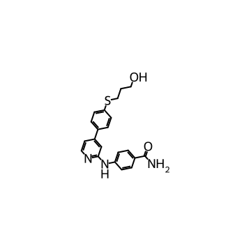 NC(=O)c1ccc(Nc2cc(-c3ccc(SCCCO)cc3)ccn2)cc1